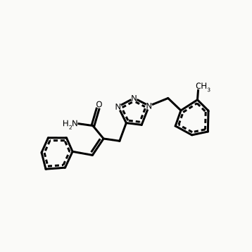 Cc1ccccc1Cn1cc(CC(=Cc2ccccc2)C(N)=O)nn1